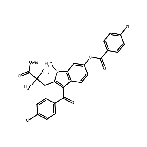 COC(=O)C(C)(C)Cc1c(C(=O)c2ccc(Cl)cc2)c2ccc(OC(=O)c3ccc(Cl)cc3)cc2n1C